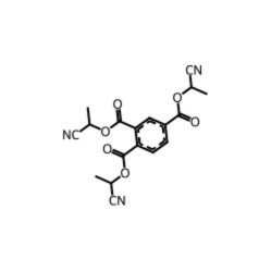 CC(C#N)OC(=O)c1ccc(C(=O)OC(C)C#N)c(C(=O)OC(C)C#N)c1